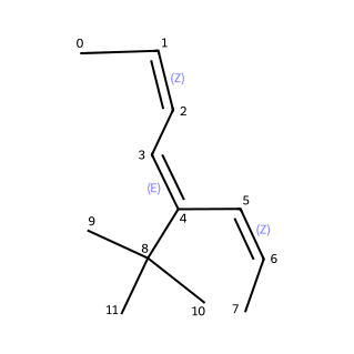 C\C=C/C=C(\C=C/C)C(C)(C)C